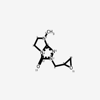 CN1CCn2c1nn(CC1CO1)c2=O